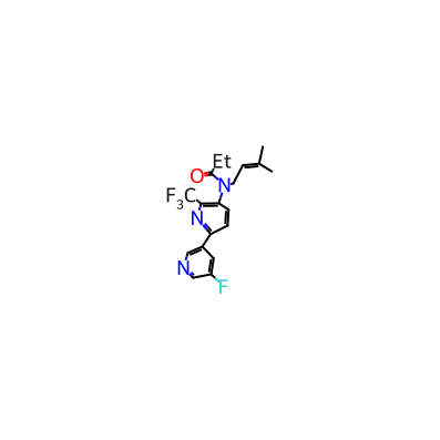 CCC(=O)N(CC=C(C)C)c1ccc(-c2cncc(F)c2)nc1C(F)(F)F